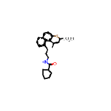 CCOC(=O)C1C=C(C)c2c(ccc3cccc(CCCNC(=O)C4CCCCC4)c23)S1